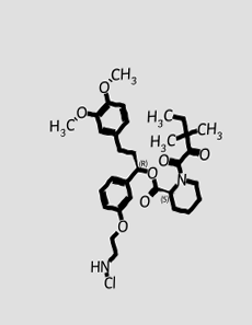 CCC(C)(C)C(=O)C(=O)N1CCCC[C@H]1C(=O)O[C@H](CCc1ccc(OC)c(OC)c1)c1cccc(OCCNCl)c1